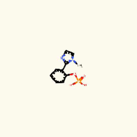 Cn1ccnc1-c1ccccc1OP(=O)(O)O